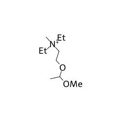 CC[N+](C)(CC)CCOC(C)OC